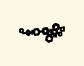 O=CC1CC(N2CCC(c3ccc4c(c3)C3(CCCCC3)c3nc(=O)c5c(Cl)cccc5n3-4)CC2)C1